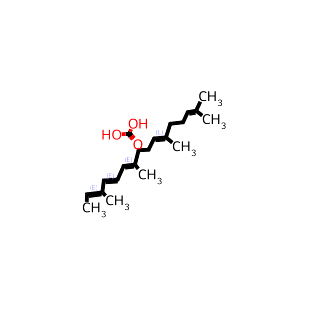 C/C=C(C)/C=C/C=C(\C)CC/C=C(\C)CCC=C(C)C.O=C(O)O